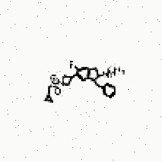 CNC1Cc2cc(F)c(C3CN(S(=O)(=O)CC4CC4)C3)cc2C1Cc1ccccc1